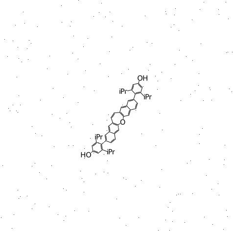 CC(C)c1cc(O)cc(C(C)C)c1-c1ccc2cc3c(cc2c1)C=Cc1cc2cc(-c4c(C(C)C)cc(O)cc4C(C)C)ccc2cc1O3